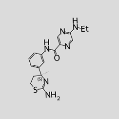 CCNc1cnc(C(=O)Nc2cccc([C@]3(C)CCSC(N)=N3)c2)cn1